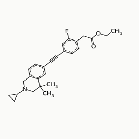 CCOC(=O)Cc1ccc(C#Cc2ccc3c(c2)C(C)(C)CN(C2CC2)C3)cc1F